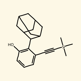 C[Si](C)(C)C#Cc1cccc(O)c1C1C2CC3CC(C2)CC1C3